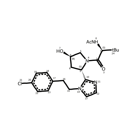 CC(=O)N[C@H](C(=O)N1C[C@H](O)C[C@H]1c1nccn1CCc1ccc(Cl)cc1)C(C)(C)C